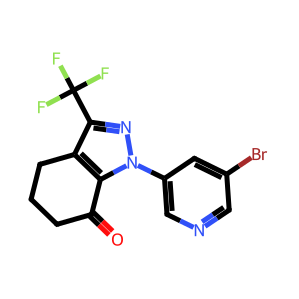 O=C1CCCc2c(C(F)(F)F)nn(-c3cncc(Br)c3)c21